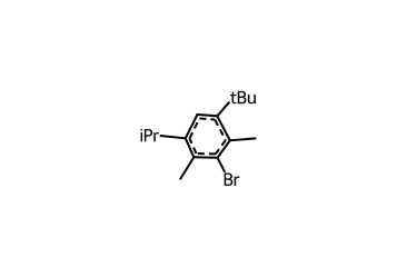 Cc1c(C(C)C)cc(C(C)(C)C)c(C)c1Br